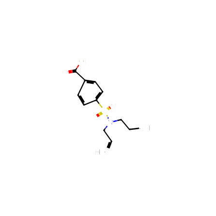 C=CCN(CCC)S(=O)(=O)c1ccc(C(=O)O)cc1